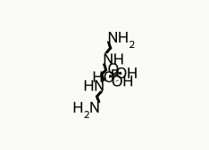 NCCCNCCCCNCCCN.O=P(O)(O)O